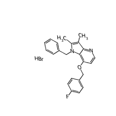 Br.Cc1c(C)n(Cc2ccccc2)c2c(OCc3ccc(F)cc3)ccnc12